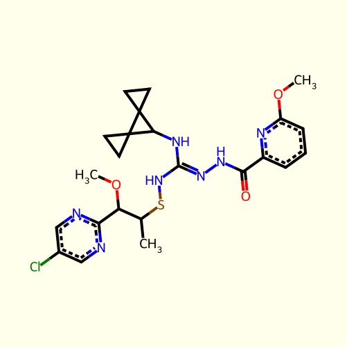 COc1cccc(C(=O)N/N=C(/NSC(C)C(OC)c2ncc(Cl)cn2)NC2C3(CC3)C23CC3)n1